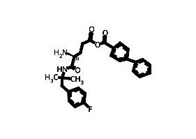 CC(C)(Cc1ccc(F)cc1)NC(=O)[C@@H](N)CCC(=O)OC(=O)c1ccc(-c2ccccc2)cc1